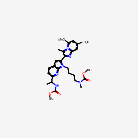 COc1cc(C(=O)O)cc2nc(-c3cc4ccc(C(C)NC(=O)OC(C)(C)C)nc4n3CCCCN(C)C(=O)OC(C)(C)C)c(C)n12